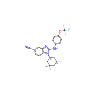 C[C@H]1C[C@H](n2c(Nc3ccc(OC(F)(F)F)cc3)nc3cc(C#N)ccc32)CC(C)(C)C1